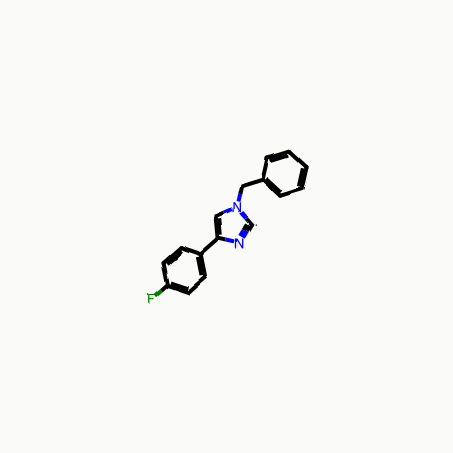 Fc1ccc(-c2cn(Cc3ccccc3)[c]n2)cc1